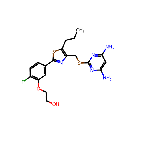 CCCc1sc(-c2ccc(F)c(OCCO)c2)nc1CSc1nc(N)cc(N)n1